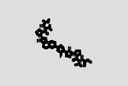 COC(=O)N[C@H](C(=O)N1CCC[C@H]1c1ncc(-c2ccc(-c3ccc4c(c3)CCc3[nH]c([C@@H]5CCCN5C(=O)[C@@H](NC(C)OC)C(C)C)nc3-4)cc2F)[nH]1)C(C)C